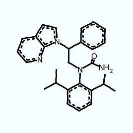 CC(C)c1cccc(C(C)C)c1N(CC(c1ccccc1)n1ccc2cccnc21)C(N)=O